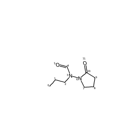 CCCN([C]=O)N1CCCC1=O